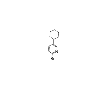 Brc1ccc(C2CCCCC2)cn1